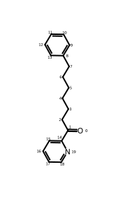 O=C(CCCCCCc1ccccc1)c1ccccn1